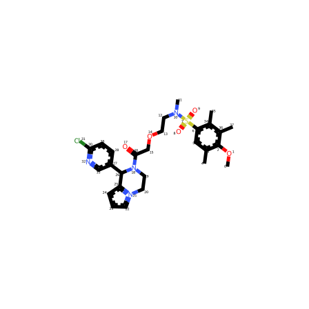 COc1c(C)cc(S(=O)(=O)N(C)CCOCC(=O)N2CCn3cccc3C2c2ccc(Cl)nc2)c(C)c1C